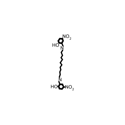 O=[N+]([O-])c1ccc(O)c(C=NCCCCCCCCCCCCN=Cc2cc([N+](=O)[O-])ccc2O)c1